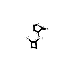 CCCCC1=C(N[C@H]2CCOC2=O)CC1